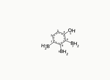 Bc1ccc(O)c(B)c1B